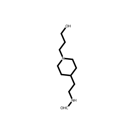 O=CNCCC1CCN(CCCO)CC1